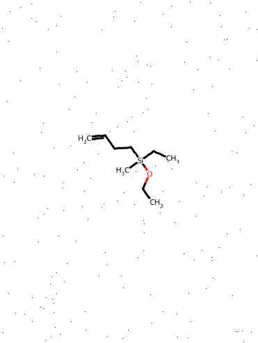 C=CCC[Si](C)(CC)OCC